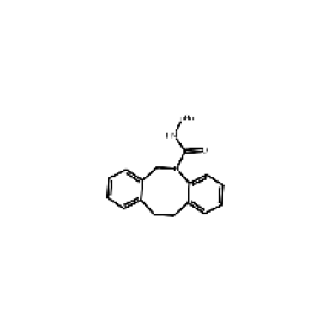 CCCCNC(=O)N1Cc2ccccc2CCc2ccccc21